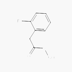 CCc1ccccc1CC(=O)SC(C)(C)C